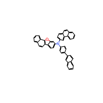 c1ccc2cc(-c3ccc(N(c4ccc5c(c4)oc4c6ccccc6ccc54)c4ccc5ccc6ccccc6c5c4)cc3)ccc2c1